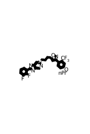 CCCOc1ccc(-c2cc(CCCn3cc4nc(-c5cccc(F)c5F)nc-4cn3)on2)c(C(F)(F)F)c1